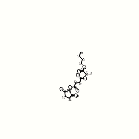 CCCCOC(=O)[C@H](C)OC(=O)CCC(=O)ON1C(=O)CCC1=O